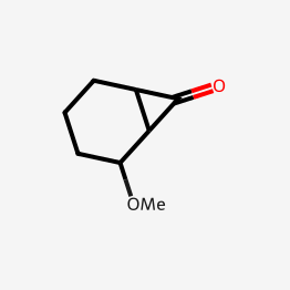 COC1CCCC2C(=O)C12